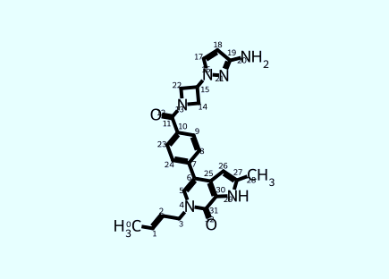 CC=CCn1cc(-c2ccc(C(=O)N3CC(n4ccc(N)n4)C3)cc2)c2cc(C)[nH]c2c1=O